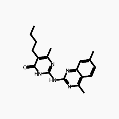 CCCCc1c(C)nc(Nc2nc(C)c3ccc(C)cc3n2)[nH]c1=O